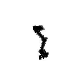 Cc1ccc(C(C)C)c(OC(=O)C[N+](C)(C)CCCCCCCCCC[N+](C)(C)CCCCCCCCCCN(C)C(=O)Oc2cc(C)ccc2C(C)C)c1